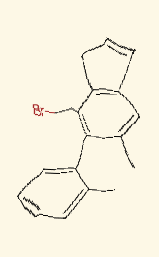 Cc1ccccc1-c1c(C)cc2c(c1Br)CC=C2